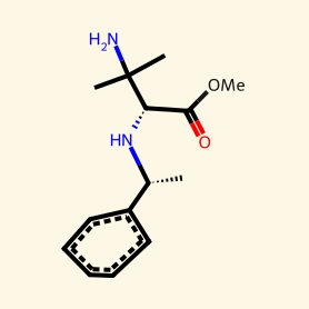 COC(=O)[C@H](N[C@H](C)c1ccccc1)C(C)(C)N